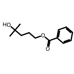 CC(C)(O)CCCOC(=O)c1ccccc1